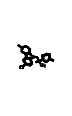 Cc1cc(C(C)(O)Cn2c3c(c4cc(Cl)ccc42)CN(C)CC3)ccn1